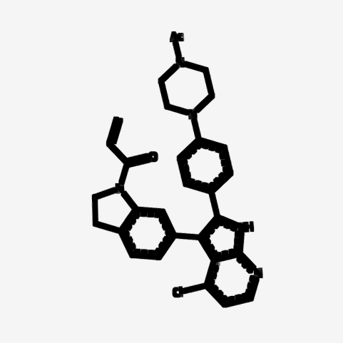 C=CC(=O)N1CCc2ccc(-c3c(-c4ccc(N5CCN(C(C)=O)CC5)cc4)[nH]c4nccc(Cl)c34)cc21